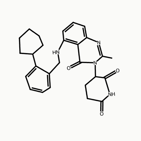 Cc1nc2cccc(NCc3ccccc3C3CCCCC3)c2c(=O)n1C1CCC(=O)NC1=O